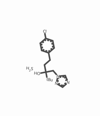 CC(C)(C)C(O)(CCc1ccc(Cl)cc1)Cn1cncn1.S